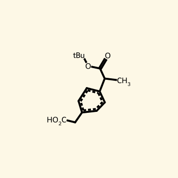 CC(C(=O)OC(C)(C)C)c1ccc(CC(=O)O)cc1